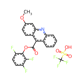 COc1ccc2c(C(=O)Oc3c(F)ccc(F)c3F)c3ccccc3nc2c1.O=S(=O)(O)C(F)(F)F